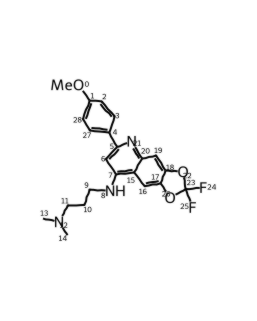 COc1ccc(-c2cc(NCCCN(C)C)c3cc4c(cc3n2)OC(F)(F)O4)cc1